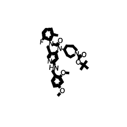 COc1ccc(CNc2cc3c(cn2)CN(c2c(C)cccc2F)C(=O)N3[C@@H]2CCCN(C(=O)OC(C)(C)C)CC2)c(OC)c1